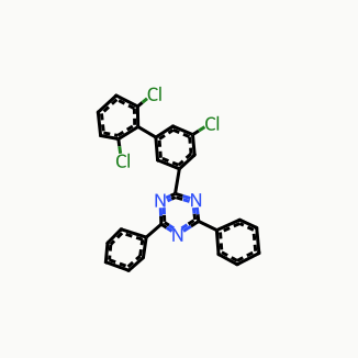 Clc1cc(-c2nc(-c3ccccc3)nc(-c3ccccc3)n2)cc(-c2c(Cl)cccc2Cl)c1